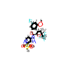 COc1cc(F)ccc1[C@@H]1C[C@](C)(C(F)(F)F)O[C@H]1C(=O)Nc1ccnc(S(C)(=O)=O)c1